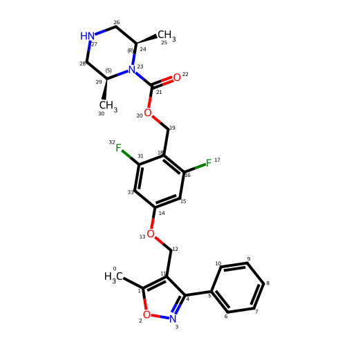 Cc1onc(-c2ccccc2)c1COc1cc(F)c(COC(=O)N2[C@H](C)CNC[C@@H]2C)c(F)c1